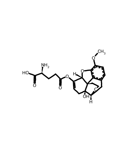 COc1ccc2c3c1O[C@H]1C(OC(=O)CC[C@H](N)C(=O)O)=CC[C@@]4(O)[C@H](CCC[C@]314)C2